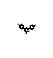 Cc1cc(-c2ccc(F)cc2)cc(-c2ccc(F)cc2)n1